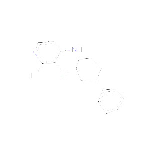 CCc1nccc(N[C@H]2CC[C@@H](c3ccccc3)CC2)c1Br